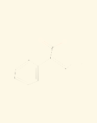 C/C=C(\C([O])=O)c1ccccc1